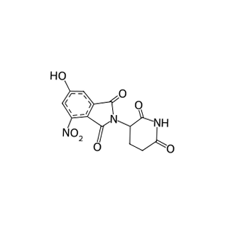 O=C1CCC(N2C(=O)c3cc(O)cc([N+](=O)[O-])c3C2=O)C(=O)N1